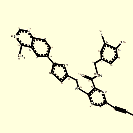 COCC#Cc1cnc(NCc2ccc(-c3ccc4ncnc(N)c4c3)s2)c(C(=O)NCc2ccc(F)c(F)c2)n1